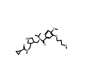 COCCCOc1cc(C(=O)N(CC2CNCC2CN(C)C(=O)C2CC2)C(C)C)ccc1OC